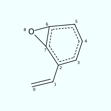 C=Cc1cccc2c1O2